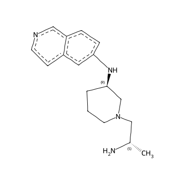 C[C@H](N)CN1CCC[C@@H](Nc2ccc3cnccc3c2)C1